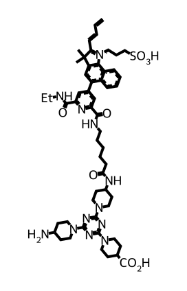 C=C/C=C/C1=[N+](CCCS(=O)(=O)O)c2c(cc(-c3cc(C(=O)NCC)nc(C(=O)NCCCCCC(=O)NC4CCN(c5nc(N6CCC(N)CC6)nc(N6CCC(C(=O)O)CC6)n5)CC4)c3)c3ccccc23)C1(C)C